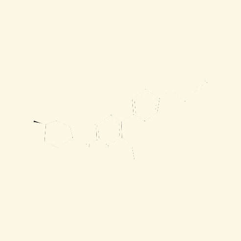 COc1nc(N[C@H]2CC[C@H](C)CC2)ncc1-c1ccc(OCC#N)cc1